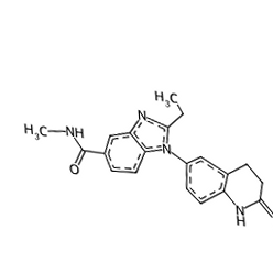 CCc1nc2cc(C(=O)NC)ccc2n1-c1ccc2c(c1)CCC(=O)N2